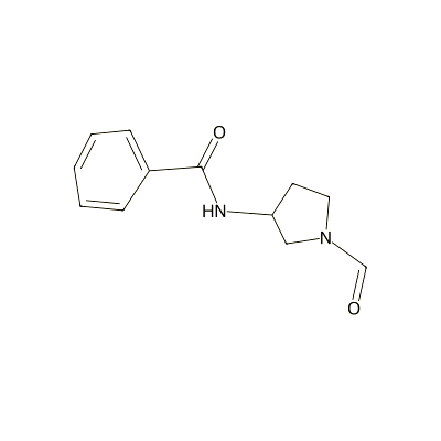 O=CN1CCC(NC(=O)c2ccccc2)C1